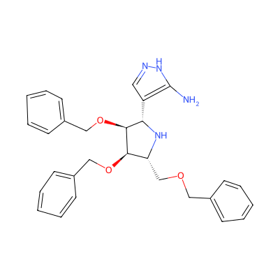 Nc1[nH]ncc1[C@@H]1N[C@H](COCc2ccccc2)[C@@H](OCc2ccccc2)[C@H]1OCc1ccccc1